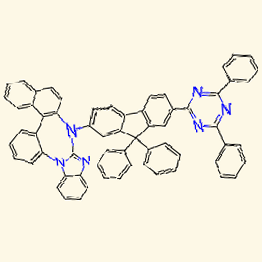 c1ccc(-c2nc(-c3ccccc3)nc(-c3ccc4c(c3)C(c3ccccc3)(c3ccccc3)c3cc(N5c6ccc7ccccc7c6-c6ccccc6-n6c5nc5ccccc56)ccc3-4)n2)cc1